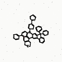 c1ccc(-c2ccc(N(c3ccc(-c4ccccc4)cc3)c3cc4c(cc3-c3cccc5c3CCCC5)-c3ccccc3C4(c3ccccc3)c3ccccc3)cc2)cc1